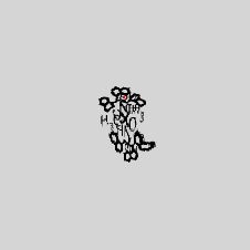 CCC(CC)(C(=O)NCC(O)(Cc1cccc2ccccc12)C(c1cccc2ccccc12)c1cccc2ccccc12)C(=O)NCC(O)(Cc1cccc2ccccc12)C(c1cccc2ccccc12)c1cccc2ccccc12